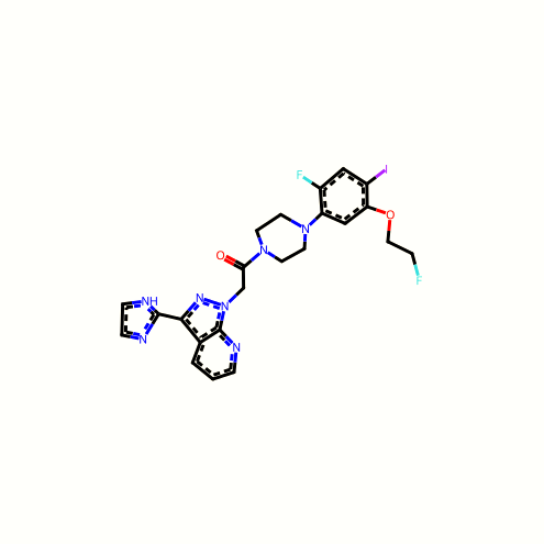 O=C(Cn1nc(-c2ncc[nH]2)c2cccnc21)N1CCN(c2cc(OCCF)c(I)cc2F)CC1